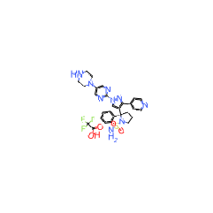 NS(=O)(=O)N1CCCC1(c1ccccc1)c1cn(-c2ncc(N3CCNCC3)cn2)nc1-c1ccncc1.O=C(O)C(F)(F)F